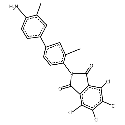 Cc1cc(-c2ccc(N3C(=O)c4c(Cl)c(Cl)c(Cl)c(Cl)c4C3=O)c(C)c2)ccc1N